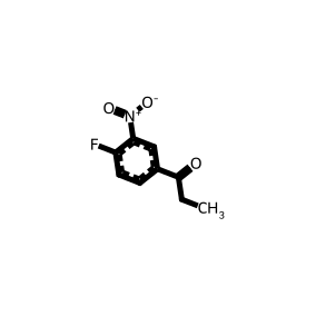 CCC(=O)c1ccc(F)c([N+](=O)[O-])c1